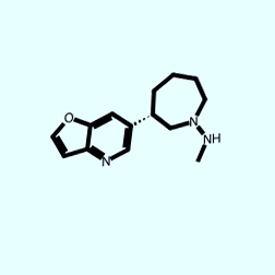 CNN1CCCC[C@@H](c2cnc3ccoc3c2)C1